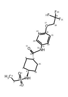 CCS(=O)(=O)N[C@H]1CC[C@H](C(=O)Nc2ccc(OCC(F)(F)F)nc2)CC1